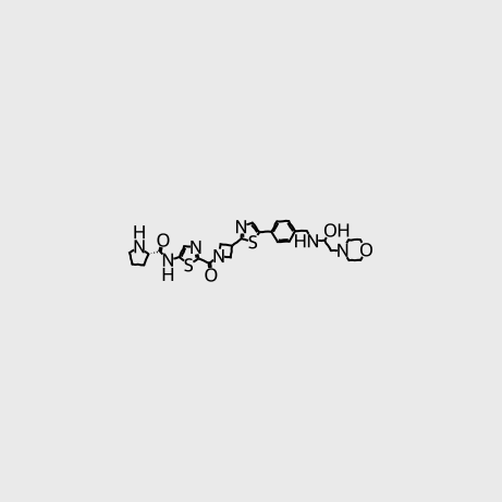 O=C(Nc1cnc(C(=O)N2CC(c3ncc(-c4ccc(CNC(O)CN5CCOCC5)cc4)s3)C2)s1)[C@@H]1CCCN1